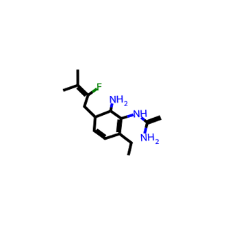 C=C(N)NC1=C(CC)C=CC(CC(F)=C(C)C)C1N